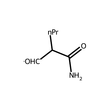 CCCC([C]=O)C(N)=O